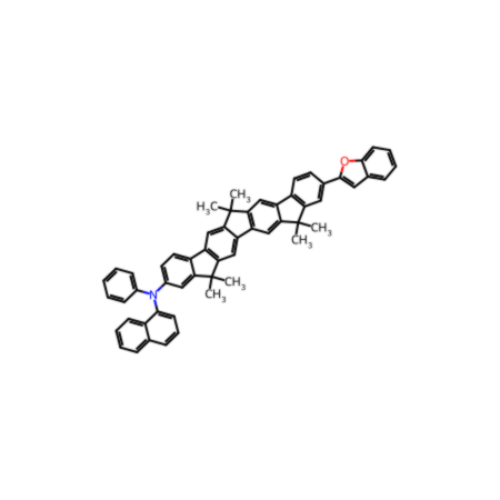 CC1(C)c2cc(-c3cc4ccccc4o3)ccc2-c2cc3c(cc21)-c1cc2c(cc1C3(C)C)-c1ccc(N(c3ccccc3)c3cccc4ccccc34)cc1C2(C)C